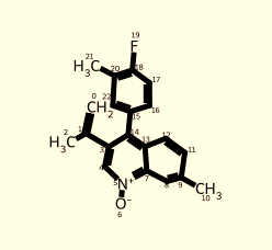 C=C(C)c1c[n+]([O-])c2cc(C)ccc2c1-c1ccc(F)c(C)c1